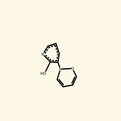 Oc1ncccc1N1C=CC=CO1